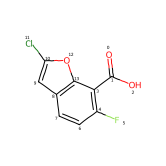 O=C(O)c1c(F)ccc2cc(Cl)oc12